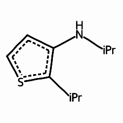 CC(C)Nc1ccsc1C(C)C